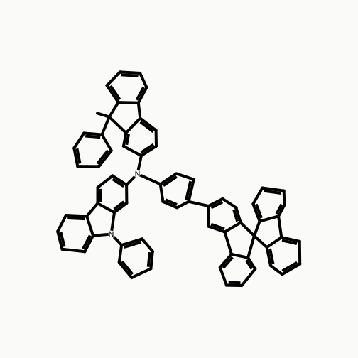 CC1(c2ccccc2)c2ccccc2-c2ccc(N(c3ccc(-c4ccc5c(c4)-c4ccccc4C54c5ccccc5-c5ccccc54)cc3)c3ccc4c5ccccc5n(-c5ccccc5)c4c3)cc21